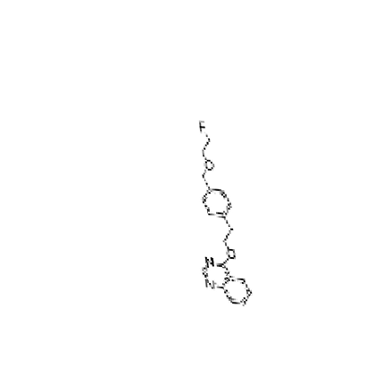 FCCOCc1ccc(CCOc2ncnc3ccccc23)cc1